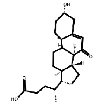 C[C@H](CCC(=O)O)[C@H]1CC[C@H]2[C@@H]3C(=O)C=C4C[C@@H](O)CC[C@]4(C)[C@H]3CC[C@]12C